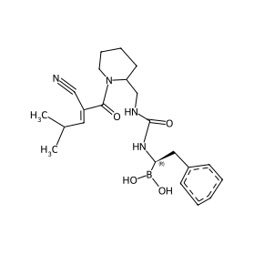 CC(C)C=C(C#N)C(=O)N1CCCCC1CNC(=O)N[C@@H](Cc1ccccc1)B(O)O